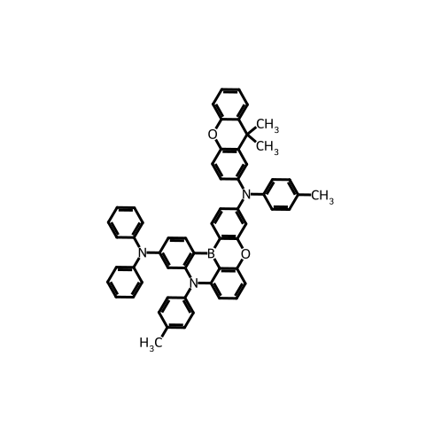 Cc1ccc(N(c2ccc3c(c2)Oc2cccc4c2B3c2ccc(N(c3ccccc3)c3ccccc3)cc2N4c2ccc(C)cc2)c2ccc3c(c2)C(C)(C)c2ccccc2O3)cc1